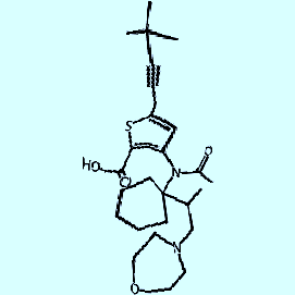 CC(=O)N(c1cc(C#CC(C)(C)C)sc1C(=O)O)C1(C(C)CN2CCOCC2)CCCCC1